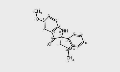 COc1ccc2c(c1)C(=O)[C@](CC(C)=O)(c1ccccc1)N2